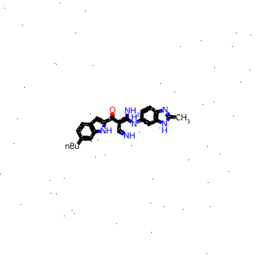 CCCCc1ccc2cc(C(=O)/C(C=N)=C(\N)Nc3ccc4nc(C)[nH]c4c3)[nH]c2c1